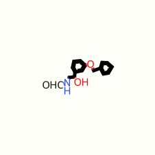 O=CNCC(O)c1cccc(OCc2ccccc2)c1